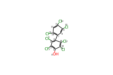 Oc1c(Cl)c(Cl)c(-c2cc(Cl)c(Cl)cc2Cl)c(Cl)c1Cl